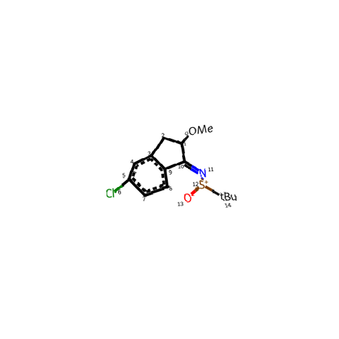 COC1Cc2cc(Cl)ccc2C1=N[S+]([O-])C(C)(C)C